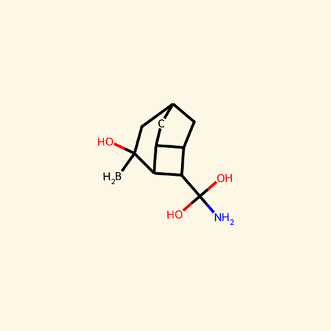 BC1(O)CC2CC3C(C2)C1C3C(N)(O)O